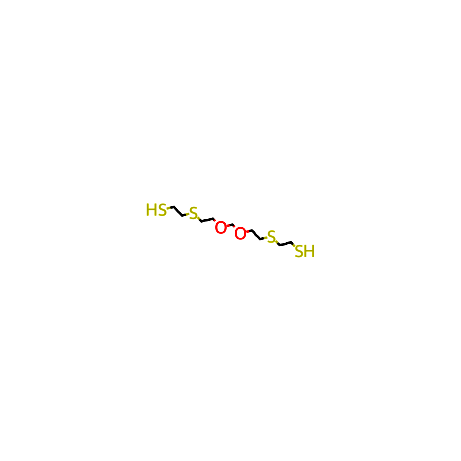 SCCSCCOCOCCSCCS